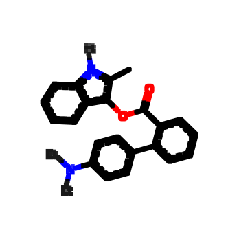 CCN(CC)c1ccc(-c2ccccc2C(=O)Oc2c(C)n(CC)c3ccccc23)cc1